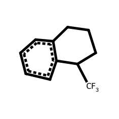 FC(F)(F)C1CCCc2ccccc21